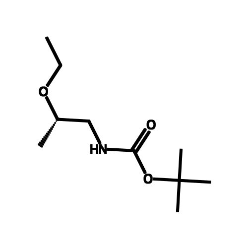 CCO[C@@H](C)CNC(=O)OC(C)(C)C